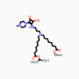 CCCCCCCCCOC(=O)CCCCCCCN(CCCCCCCC(=O)OC(CCCCCCCC)CCCCCCCC)CCCNC1=C(N2CCN(C)CC2)C(=O)C1O